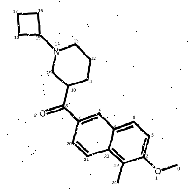 COc1ccc2cc(C(=O)C3CCCN(C4CCC4)C3)ccc2c1C